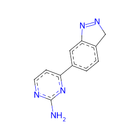 Nc1nccc(-c2ccc3c(c2)N=NC3)n1